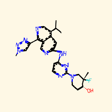 CC(C)c1cnc(-c2cn(C)nn2)c2cnc(Nc3ccnc(N4CC[C@@H](O)[C@@](C)(F)C4)n3)cc12